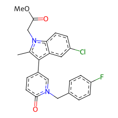 COC(=O)Cn1c(C)c(-c2ccc(=O)n(Cc3ccc(F)cc3)c2)c2cc(Cl)ccc21